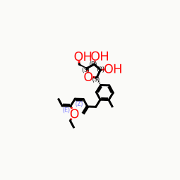 C=C(/C=C\C(=C/C)OCC)Cc1cc([C@@H]2O[C@@H](CO)[C@H](O)[C@H]2O)ccc1C